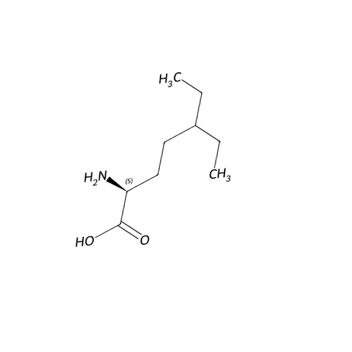 CCC(CC)CC[C@H](N)C(=O)O